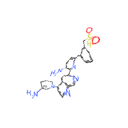 Nc1ccc(-c2cccc(C[SH](=O)=O)c2)nc1-c1cc2c(N3CCC[C@H](N)C3)ccnc2cn1